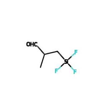 CC(C=O)C[Si](F)(F)F